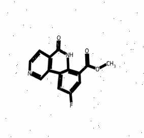 COC(=O)c1cc(F)cc2c1[nH]c(=O)c1ccncc12